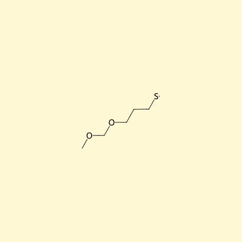 COCOCCC[S]